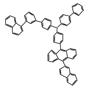 c1ccc(-c2ccc(N(c3ccc(-c4cccc(-c5cccc6ccccc56)c4)cc3)c3ccc(-c4c5ccccc5c(-c5ccc6ccccc6c5)c5ccccc45)cc3)cc2)cc1